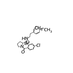 C\C=C(/C=C\C(Cl)=C/C)CCNC(=O)C1CCCN1C(=O)c1ccc(Cl)cc1Br